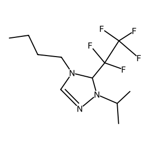 CCCCN1C=NN(C(C)C)C1C(F)(F)C(F)(F)F